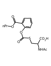 CCCOC(=O)c1ccccc1OC(=O)SCC(NC(C)=O)C(=O)O